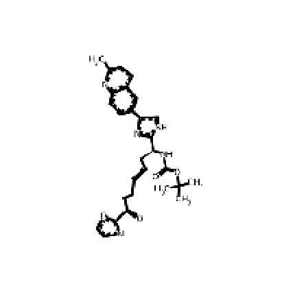 Cc1ccc2cc(-c3c[nH]c([C@H](C/C=C/CCC(=O)c4ncco4)NC(=O)OC(C)(C)C)n3)ccc2n1